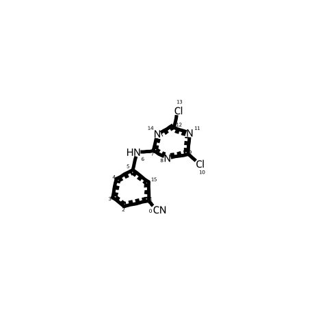 N#Cc1cccc(Nc2nc(Cl)nc(Cl)n2)c1